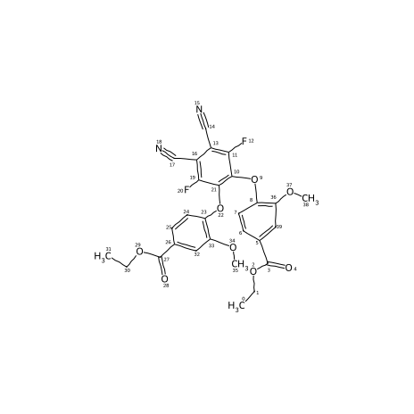 CCOC(=O)c1ccc(Oc2c(F)c(C#N)c(C#N)c(F)c2Oc2ccc(C(=O)OCC)cc2OC)c(OC)c1